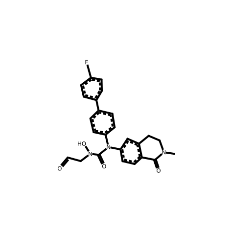 CN1CCc2cc(N(C(=O)N(O)CC=O)c3ccc(-c4ccc(F)cc4)cc3)ccc2C1=O